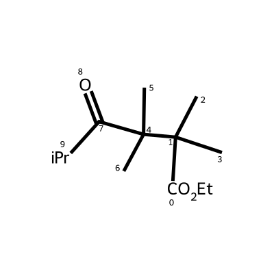 CCOC(=O)C(C)(C)C(C)(C)C(=O)C(C)C